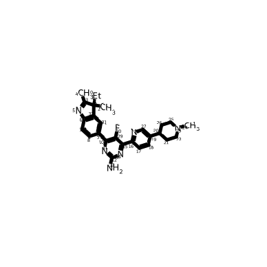 CCC1(C)C(C)=Nc2ccc(-c3nc(N)nc(-c4ccc(C5CCN(C)CC5)cn4)c3F)cc21